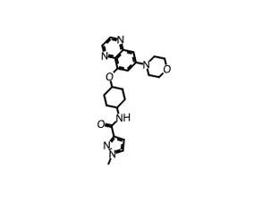 Cn1ccc(C(=O)NC2CCC(Oc3cc(N4CCOCC4)cc4nccnc34)CC2)n1